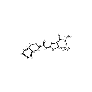 C[C@H](C(=O)N1C[C@H](OC(=O)N2CCc3ccccc3C2)C[C@H]1C(=O)O)C(C)(C)C